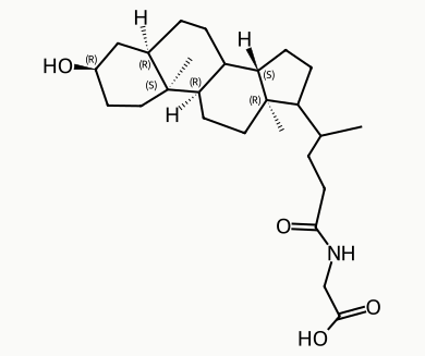 CC(CCC(=O)NCC(=O)O)C1CC[C@H]2C3CC[C@@H]4C[C@H](O)CC[C@]4(C)[C@@H]3CC[C@]12C